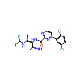 CC(=N)/C(NC(=O)c1nccc(-c2cc(Cl)ccc2Cl)n1)=C(/C)NC(F)F